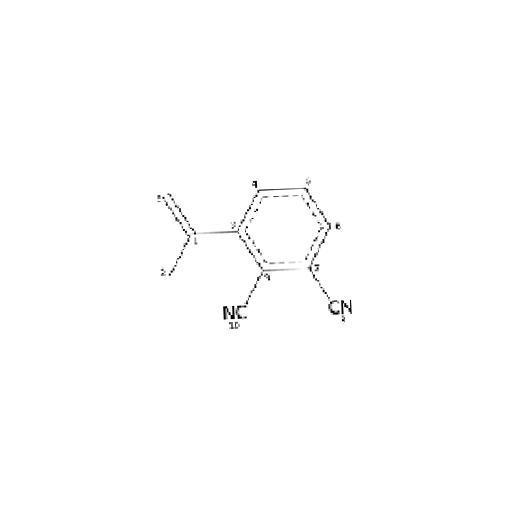 C=C(C)c1cccc(C#N)c1C#N